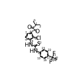 CC(C)S(=O)(=O)c1csc(NC(=S)Nc2ccc(C(F)(F)F)cc2)c1Cl